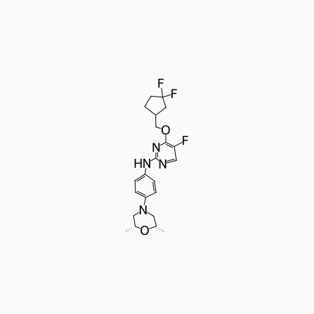 C[C@@H]1CN(c2ccc(Nc3ncc(F)c(OCC4CCC(F)(F)C4)n3)cc2)C[C@H](C)O1